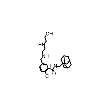 O=C(NCC12CC3CC(CC(C3)C1)C2)c1cc(CNCCNCCO)ccc1Cl